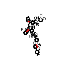 CC1(C)CCC(c2ccc(Cl)cc2)=C(CN2CCN(c3ccc(C(=O)NS(=O)(=O)c4ccc(N[C@H](CCN5CC6CCC(C5)N6Cc5cc(F)c6c(c5)C(=O)N(C5CCC(=O)NC5=O)C6=O)CSc5ccccc5)c(S(=O)(=O)C(F)(F)F)c4)cc3)CC2)C1